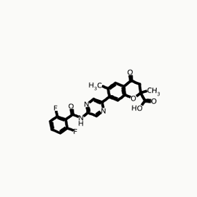 Cc1cc2c(cc1-c1cnc(NC(=O)c3c(F)cccc3F)cn1)OC(C)(C(=O)O)CC2=O